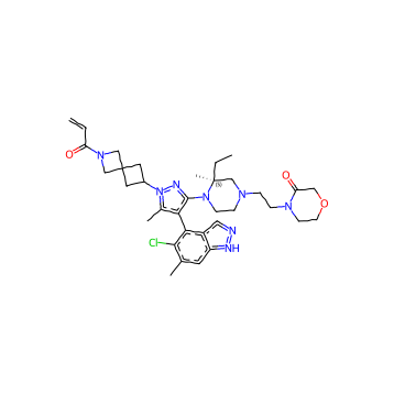 C=CC(=O)N1CC2(CC(n3nc(N4CCN(CCN5CCOCC5=O)C[C@]4(C)CC)c(-c4c(Cl)c(C)cc5[nH]ncc45)c3C)C2)C1